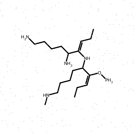 CC/C=C(\NC(CCCCNC)/C(=C\CC)OP)C(N)CCCCN